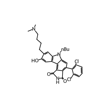 CCCCn1c2cc(CCCCN(C)C)c(O)cc2c2c3c(c(-c4c(Cl)cccc4Cl)cc21)C(=O)NC3=O